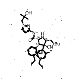 CC(C)(C)C[C@@H]1N[C@@H](C(=O)Nc2ccn(CC(C)(C)O)n2)[C@H](c2cccc(CI)c2F)[C@@]1(C#N)c1ccc(CI)cc1F